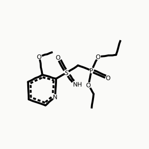 CCOP(=O)(CS(=N)(=O)c1ncccc1OC)OCC